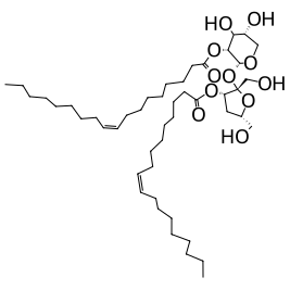 CCCCCCCC/C=C\CCCCCCCC(=O)O[C@@H]1C(O)[C@H](O)CO[C@@H]1O[C@]1(CO)O[C@H](CO)C[C@@H]1OC(=O)CCCCCCC/C=C\CCCCCCCC